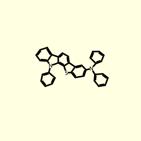 c1ccc(N(c2ccccc2)c2ccc3sc4c(ccc5c6ccccc6n(-c6ccccc6)c54)c3c2)cc1